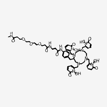 CNC(=O)CCOCCOCCOCCC(=O)NCCC(=O)Nc1ccc(CC2CN(Cc3cccc(=O)n3O)CCN(Cc3cccc(=O)n3O)CCN(Cc3cccc(=O)n3O)CCN2Cc2cccc(=O)n2O)cc1